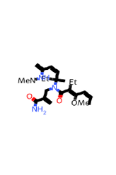 C=C(/C=C\C(C)(CC)N(CC(=C)C(N)=O)C(=O)/C(CC)=C(/C=C\C)OC)NNC